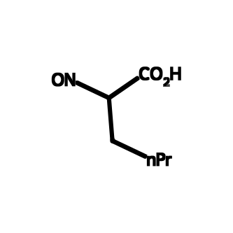 CCCCC(N=O)C(=O)O